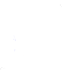 COCCCOc1cc2ccc(-c3ccc(OC)cc3)cc2cc1C1=NCCN1